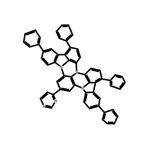 c1ccc(-c2ccc3c(c2)c2c(-c4ccccc4)ccc4c2n3-c2cc(-c3ccncn3)cc3c2B4c2ccc(-c4ccccc4)c4c5cc(-c6ccccc6)ccc5n-3c24)cc1